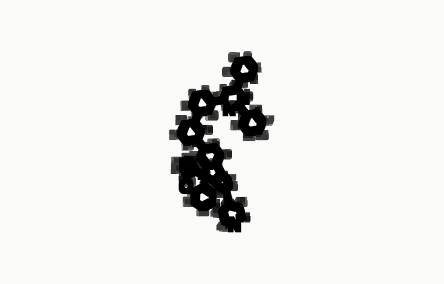 c1ccc(-c2cc(-c3cccc(-c4cccc(-c5ccc6c(c5)C5(c7ccccc7Oc7ccccc75)c5cc(-c7ccncc7)ccc5-6)c4)c3)nc(-c3ccccc3)n2)cc1